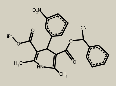 CC1=C(C(=O)OC(C)C)C(c2cccc([N+](=O)[O-])c2)C(C(=O)OC(C#N)c2ccccc2)=C(C)N1